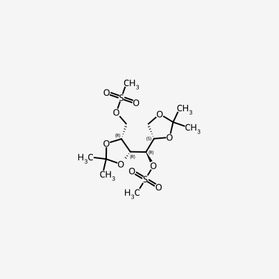 CC1(C)OC[C@@H]([C@@H](OS(C)(=O)=O)[C@@H]2OC(C)(C)O[C@@H]2COS(C)(=O)=O)O1